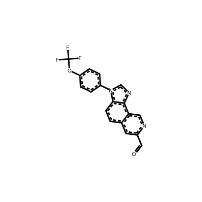 O=Cc1cc2ccc3c(ncn3-c3ccc(OC(F)(F)F)cc3)c2cn1